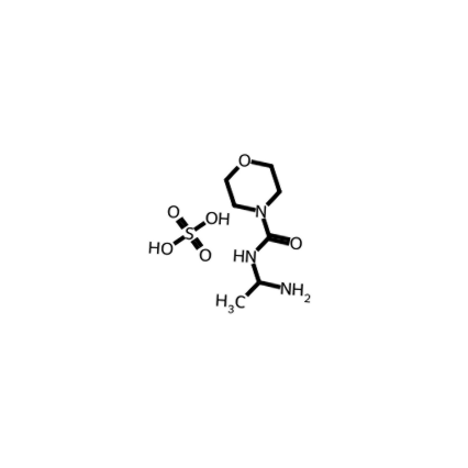 CC(N)NC(=O)N1CCOCC1.O=S(=O)(O)O